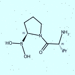 CC(C)[C@@H](N)C(=O)N1CCC[C@@H]1B(O)O